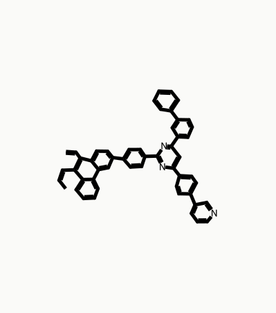 C=Cc1c(/C=C\C)c2ccccc2c2cc(-c3ccc(-c4nc(-c5ccc(-c6cccnc6)cc5)cc(-c5cccc(-c6ccccc6)c5)n4)cc3)ccc12